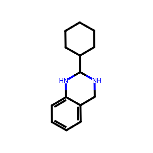 c1ccc2c(c1)CNC(C1CCCCC1)N2